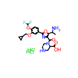 CC(N)c1oc(-c2ccc(OC(F)F)c(OCC3CC3)c2)nc1C(=O)N1CCNCC1C(=O)O.Cl.Cl